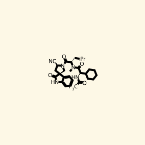 CC(C)C[C@@H](C(=O)N1C[C@]2(C[C@H]1C#N)C(=O)Nc1ccccc12)N(C)C(=O)[C@@H](NC(=O)C(F)(F)F)C1CCCCC1